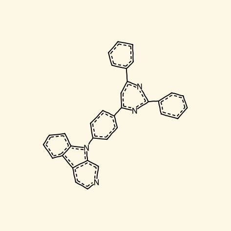 c1ccc(-c2cc(-c3ccc(-n4c5ccccc5c5ccncc54)cc3)nc(-c3ccccc3)n2)cc1